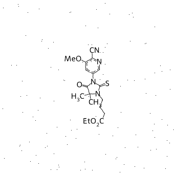 CCOC(=O)CCCN1C(=S)N(c2cnc(C#N)c(OC)c2)C(=O)C1(C)C